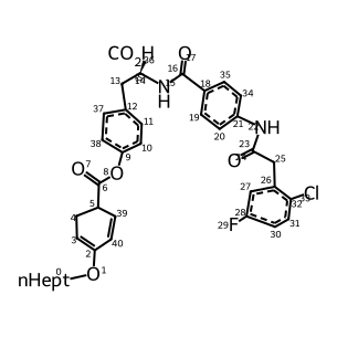 CCCCCCCOC1=CCC(C(=O)Oc2ccc(C[C@H](NC(=O)c3ccc(NC(=O)Cc4cc(F)ccc4Cl)cc3)C(=O)O)cc2)C=C1